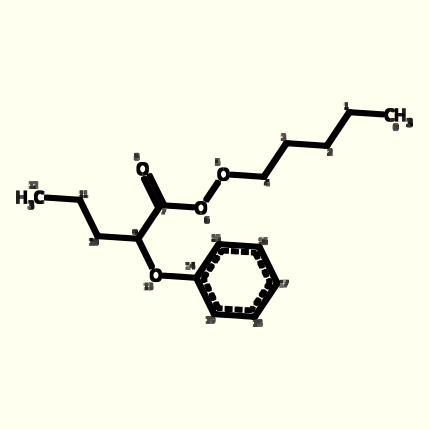 CCCCCOOC(=O)C(CCC)Oc1ccccc1